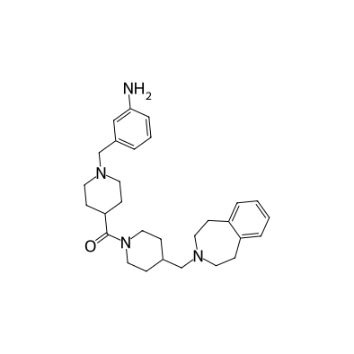 Nc1cccc(CN2CCC(C(=O)N3CCC(CN4CCc5ccccc5CC4)CC3)CC2)c1